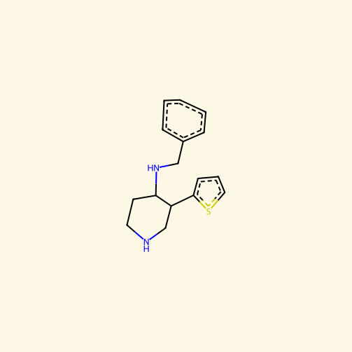 c1ccc(CNC2CCNCC2c2cccs2)cc1